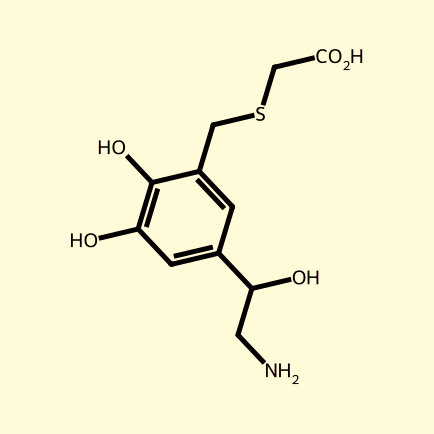 NCC(O)c1cc(O)c(O)c(CSCC(=O)O)c1